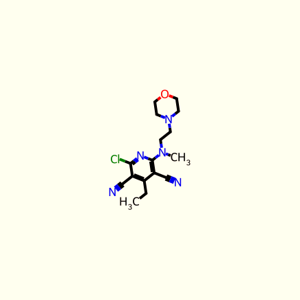 CCc1c(C#N)c(Cl)nc(N(C)CCN2CCOCC2)c1C#N